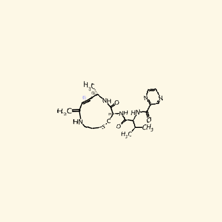 C=C1/C=C/[C@H](C)NC(=O)[C@@H](NC(=O)C(NC(=O)c2cnccn2)C(C)C)CSCCN1